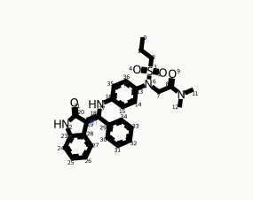 CCCS(=O)(=O)N(CC(=O)N(C)C)c1ccc(N/C(=C2\C(=O)Nc3ccccc32)c2ccccc2)cc1